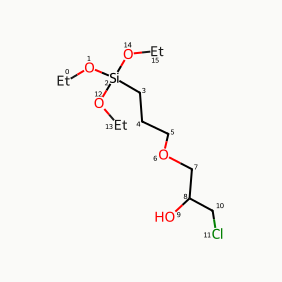 CCO[Si](CCCOCC(O)CCl)(OCC)OCC